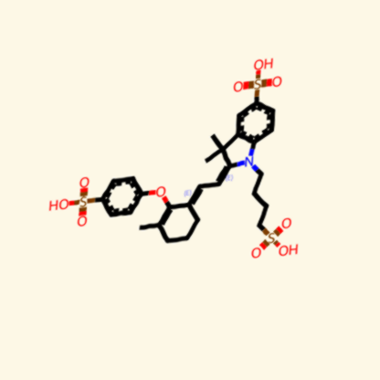 CC1=C(Oc2ccc(S(=O)(=O)O)cc2)/C(=C/C=C2/N(CCCCS(=O)(=O)O)c3ccc(S(=O)(=O)O)cc3C2(C)C)CCC1